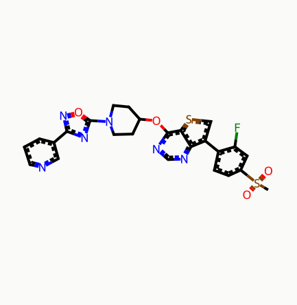 CS(=O)(=O)c1ccc(-c2csc3c(OC4CCN(c5nc(-c6cccnc6)no5)CC4)ncnc23)c(F)c1